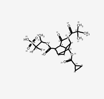 CC(OC(=O)C1C2CC3C1C(=O)N(C(=O)C(C)(C)C)C3C2OC(=O)C1CC1)C(F)(F)S(=O)(=O)O